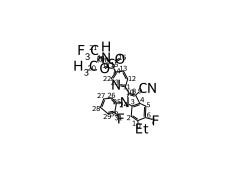 CCc1cc2c(cc1F)c(C#N)c(-c1ccc(S(=O)(=O)N[C@@H](C)C(F)(F)F)cn1)n2-c1ccccc1F